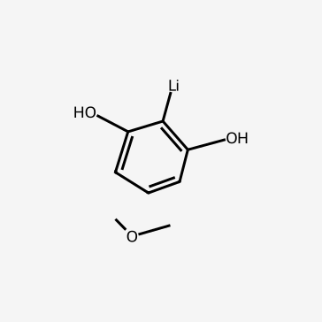 COC.[Li][c]1c(O)cccc1O